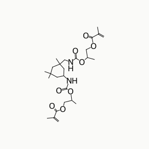 C=C(C)C(=O)OCC(C)OC(=O)NCC1(C)CC(NC(=O)OC(C)COC(=O)C(=C)C)CC(C)(C)C1